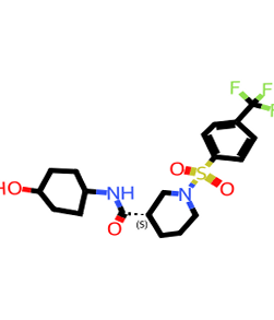 O=C(NC1CCC(O)CC1)[C@H]1CCCN(S(=O)(=O)c2ccc(C(F)(F)F)cc2)C1